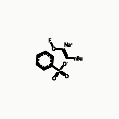 CCCCC=COF.O=S(=O)([O-])c1ccccc1.[Na+]